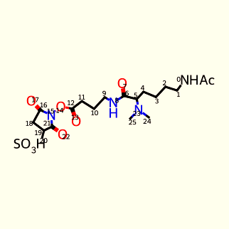 CC(=O)NCCCCC(C(=O)NCCCC(=O)ON1C(=O)CC(S(=O)(=O)O)C1=O)N(C)C